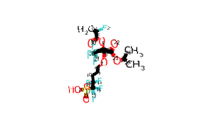 C=C(F)C(=O)OC(OCCCC(F)(F)C(F)(F)S(=O)(=O)O)(C(=O)OC(C)C)C(F)(F)F